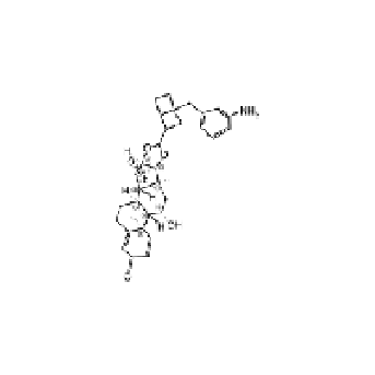 CCC(=O)[C@@]12OC(C3CC4(Cc5cccc(N)c5)CCC34)O[C@@H]1C[C@H]1[C@@H]3CCC4=CC(=O)C=C[C@]4(C)[C@H]3[C@@H](O)C[C@@]12C